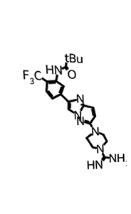 CC(C)(C)C(=O)Nc1cc(-c2cn3nc(N4CCN(C(=N)N)CC4)ccc3n2)ccc1C(F)(F)F